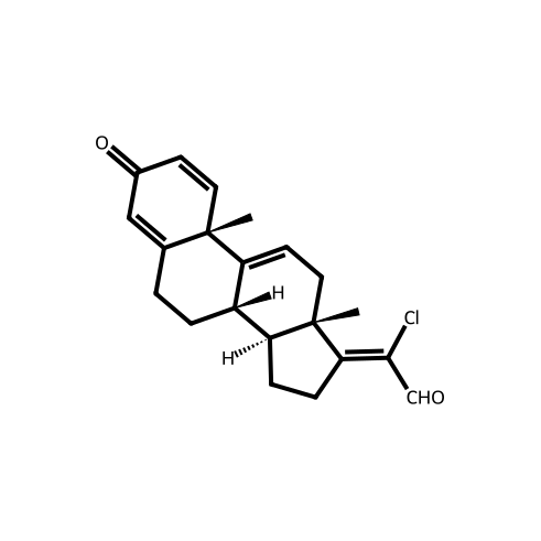 C[C@]12C=CC(=O)C=C1CC[C@@H]1C2=CC[C@]2(C)C(=C(Cl)C=O)CC[C@@H]12